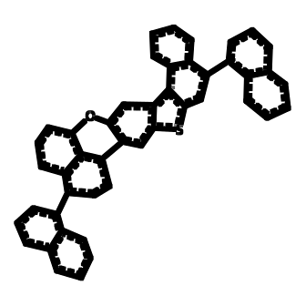 c1ccc2c(-c3ccc4c5c(cccc35)Oc3cc5c(cc3-4)sc3cc(-c4cccc6ccccc46)c4ccccc4c35)cccc2c1